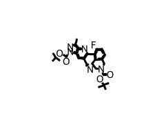 Cc1nn(C(=O)OC(C)(C)C)c2cc(C#N)c(-c3c(F)ccc4c3CCN(C(=O)OC(C)(C)C)C4)nc12